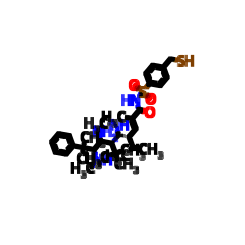 CNC([C@H](/C=C(\C)C(=O)NS(=O)(=O)c1ccc(CS)cc1)C(C)C)[C@H](C(N)[C@@H](NC)C(C)(C)c1ccccc1)C(C)(C)C